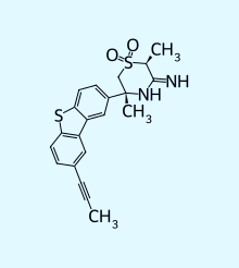 CC#Cc1ccc2sc3ccc([C@]4(C)CS(=O)(=O)[C@@H](C)C(=N)N4)cc3c2c1